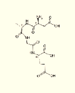 C[C@H](NC(=O)[C@@H](N)CC(=O)O)C(=O)NCC(=O)N[C@@H](CCC(=O)O)C(=O)O